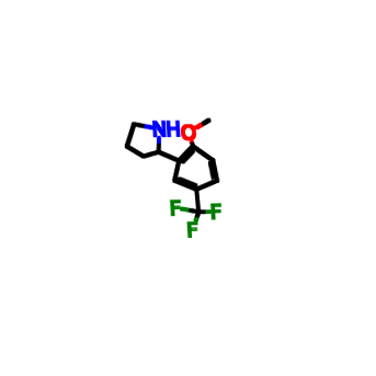 COc1ccc(C(F)(F)F)cc1C1CCCN1